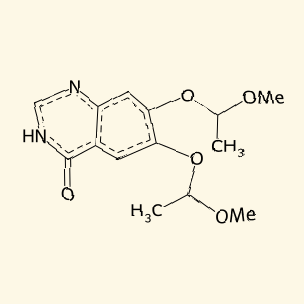 COC(C)Oc1cc2nc[nH]c(=O)c2cc1OC(C)OC